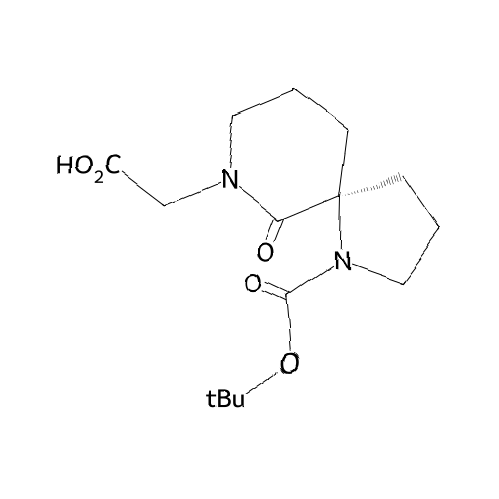 CC(C)(C)OC(=O)N1CCC[C@]12CCCN(CC(=O)O)C2=O